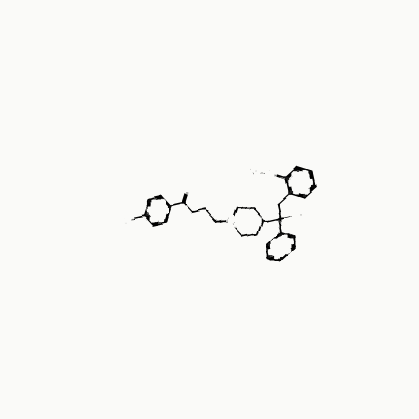 COc1ccccc1CC(O)(c1ccccc1)C1CCN(CCCC(=O)c2ccc(C(C)(C)C)cc2)CC1